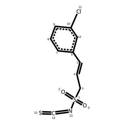 O=S(=O)(CC=Cc1cccc(Cl)c1)N=C=S